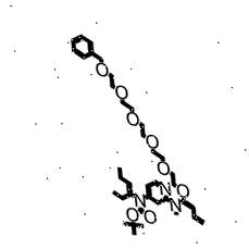 C=C/C=C(/OCCOCCOCCOCCOCCOCc1ccccc1)N(C)C1CC(N(C(=O)OC(C)(C)C)/C(=C/CC)CC)=CC=N1